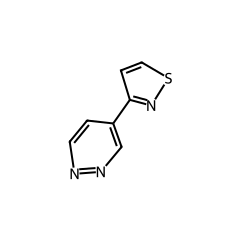 c1cc(-c2ccsn2)cnn1